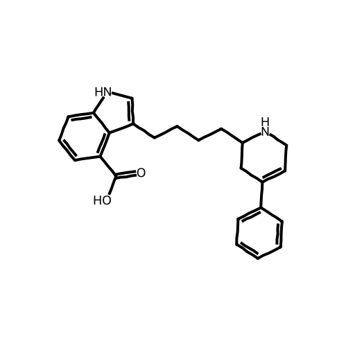 O=C(O)c1cccc2[nH]cc(CCCCC3CC(c4ccccc4)=CCN3)c12